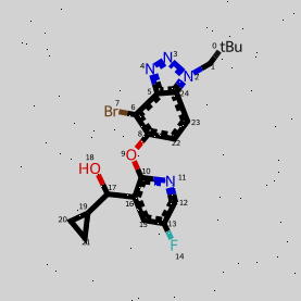 CC(C)(C)Cn1nnc2c(Br)c(Oc3ncc(F)cc3C(O)C3CC3)ccc21